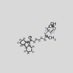 C#C/C=C\C(=C/C)CN(C)CCCCCC(=O)n1c2ccccc2c2ccccc21